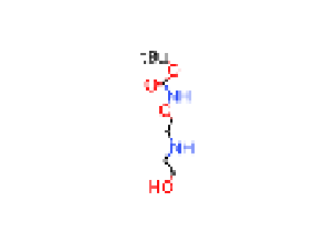 CC(C)(C)OC(=O)NOCCNCCO